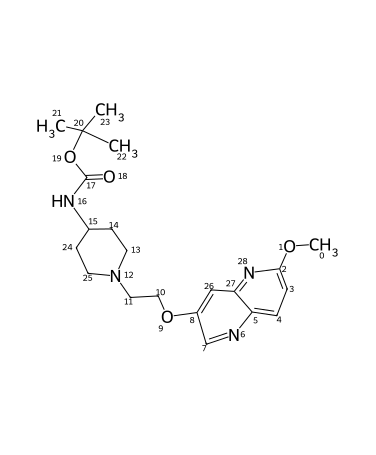 COc1ccc2ncc(OCCN3CCC(NC(=O)OC(C)(C)C)CC3)cc2n1